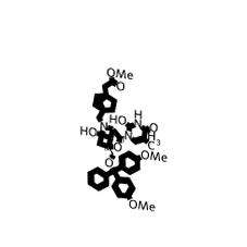 COC(=O)CC12CCC(CN3C4C5C3(O)C[C@]5(COC(c3ccccc3)(c3ccc(OC)cc3)c3ccc(OC)cc3)O[C@H]4N3C=C(C)C(=O)NC3O)(CC1)C2